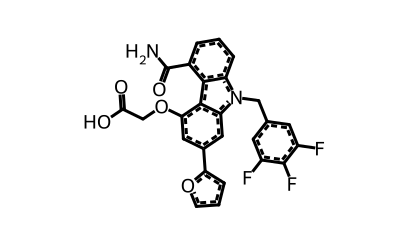 NC(=O)c1cccc2c1c1c(OCC(=O)O)cc(-c3ccco3)cc1n2Cc1cc(F)c(F)c(F)c1